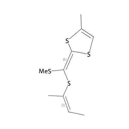 C/C=C(/C)S/C(SC)=C1\SC=C(C)S1